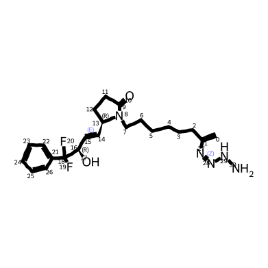 C=C(CCCCCCN1C(=O)CC[C@@H]1/C=C/[C@@H](O)C(F)(F)c1ccccc1)/N=N\NN